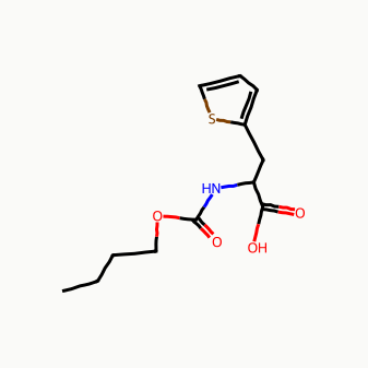 CCCCOC(=O)NC(Cc1cccs1)C(=O)O